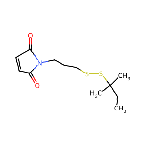 CCC(C)(C)SSCCCN1C(=O)C=CC1=O